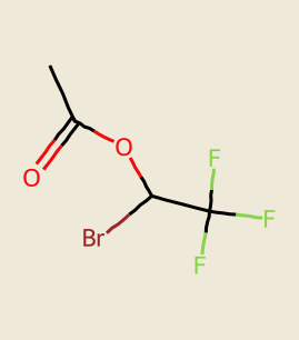 CC(=O)OC(Br)C(F)(F)F